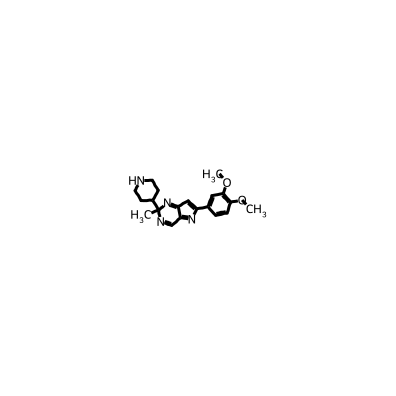 COc1ccc(C2=CC3=NC(C)(C4CCNCC4)N=CC3=N2)cc1OC